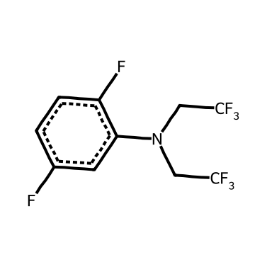 Fc1ccc(F)c(N(CC(F)(F)F)CC(F)(F)F)c1